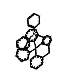 C1=CCCC(N(c2ccccc2)c2cccc3c2C2(c4ccccc4C3)c3ccccc3-c3ccccc32)=C1